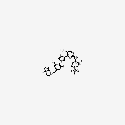 CC1(O)CCN(Cc2cc(F)c(-n3cnc(-c4nc(N[C@@H]5CCN(S(C)(=O)=O)C[C@H]5F)ncc4C(F)(F)F)c3)c(Cl)c2)C1